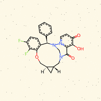 O=C1c2c(O)c(=O)ccn2N2CN1C[C@@H]1C[C@H]1COc1c(ccc(F)c1F)[C@H]2c1ccccc1